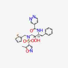 Cc1oncc1S(=O)(=O)N(Cc1cccs1)C[C@@H](O)[C@H](Cc1ccccc1)NC(=O)c1ccnnc1